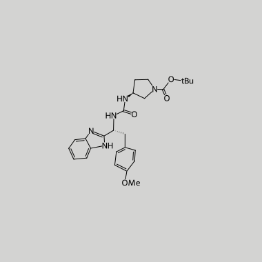 COc1ccc(C[C@@H](NC(=O)N[C@H]2CCN(C(=O)OC(C)(C)C)C2)c2nc3ccccc3[nH]2)cc1